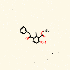 CCCCOC(=O)c1c(O)ccc(C(=O)Cc2ccccc2)c1C